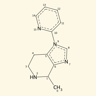 CC1NCCc2c1ncn2-c1ccccn1